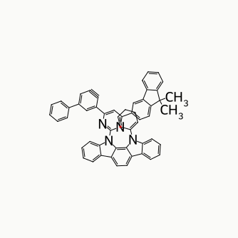 CC1(C)c2ccccc2-c2cc(-c3cc(-c4c#ccc(-c5ccccc5)c4)nc(-n4c5ccccc5c5ccc6c7ccccc7n(C7=CCCC=C7)c6c54)n3)ccc21